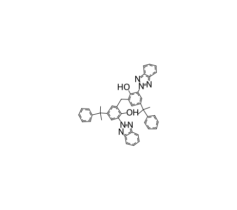 CC(C)(c1ccccc1)c1cc(Cc2cc(C(C)(C)c3ccccc3)cc(-n3nc4ccccc4n3)c2O)c(O)c(-n2nc3ccccc3n2)c1